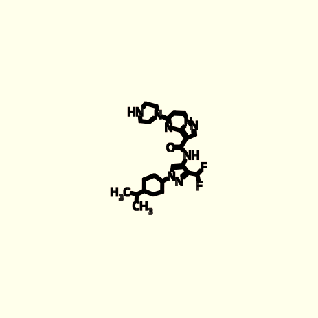 CC(C)C1CCC(n2cc(NC(=O)c3cnn4ccc(N5CCNCC5)nc34)c(C(F)F)n2)CC1